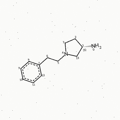 N[C@H]1CCN(CCc2ccccc2)C1